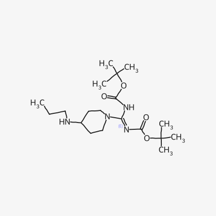 CCCNC1CCN(/C(=N/C(=O)OC(C)(C)C)NC(=O)OC(C)(C)C)CC1